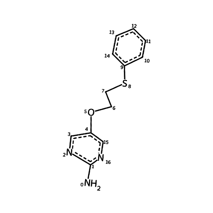 Nc1ncc(OCCSc2ccccc2)cn1